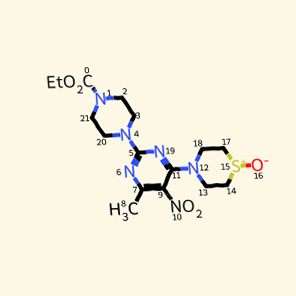 CCOC(=O)N1CCN(c2nc(C)c([N+](=O)[O-])c(N3CC[S+]([O-])CC3)n2)CC1